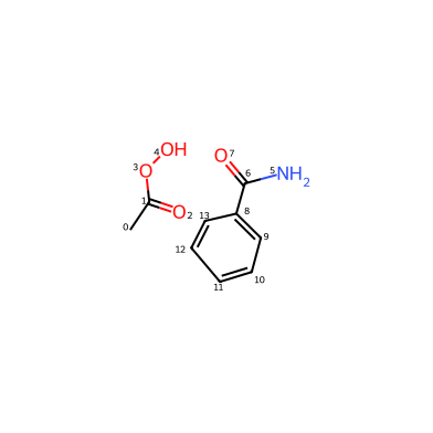 CC(=O)OO.NC(=O)c1ccccc1